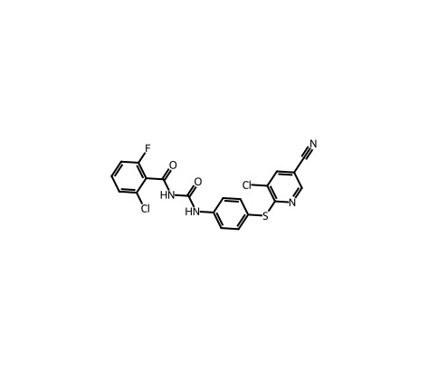 N#Cc1cnc(Sc2ccc(NC(=O)NC(=O)c3c(F)cccc3Cl)cc2)c(Cl)c1